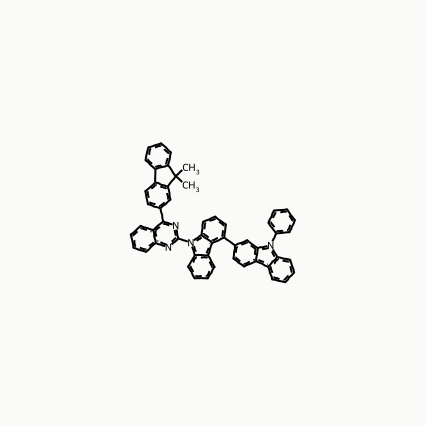 CC1(C)c2ccccc2-c2ccc(-c3nc(-n4c5ccccc5c5c(-c6ccc7c8ccccc8n(-c8ccccc8)c7c6)cccc54)nc4ccccc34)cc21